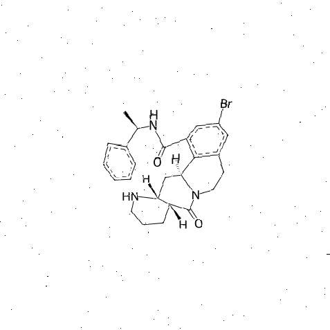 C[C@@H](NC(=O)c1cc(Br)cc2c1[C@@H]1C[C@H]3NCCC[C@H]3C(=O)N1CC2)c1ccccc1